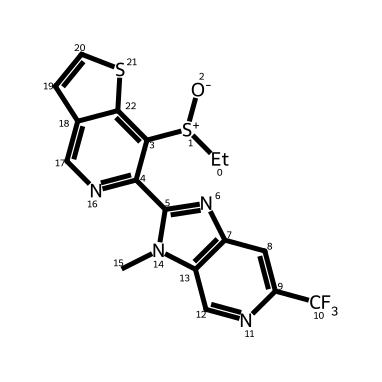 CC[S+]([O-])c1c(-c2nc3cc(C(F)(F)F)ncc3n2C)ncc2ccsc12